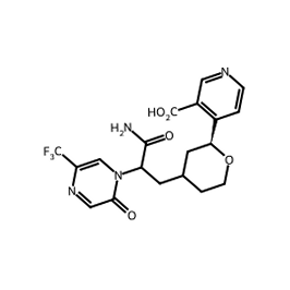 NC(=O)C(CC1CCO[C@H](c2ccncc2C(=O)O)C1)n1cc(C(F)(F)F)ncc1=O